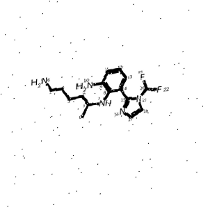 CC(CCCCN)Nc1c(N)cccc1-c1nccn1C(F)F